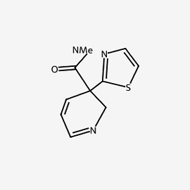 CNC(=O)C1(c2nccs2)C=CC=NC1